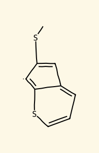 CSc1[c]c2scccc-2c1